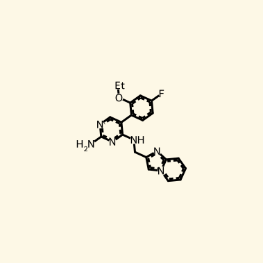 CCOc1cc(F)ccc1-c1cnc(N)nc1NCc1cn2ccccc2n1